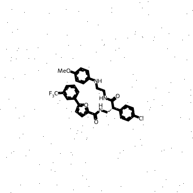 COc1ccc(NCCNC(=O)[C@@H](CNC(=O)c2ccc(-c3cccc(C(F)(F)F)c3)o2)c2ccc(Cl)cc2)cc1